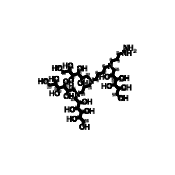 NNCCCN(CCCCN(CCCN(CC(O)C(O)C(O)C(O)CO)CC(O)C(O)C(O)C(O)CO)CC(O)C(O)C(O)C(O)CO)CC(O)C(O)C(O)C(O)CO